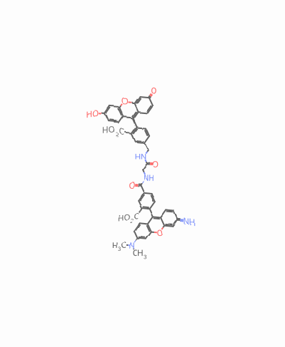 CN(C)c1ccc2c(-c3ccc(C(=O)NCC(=O)NCc4ccc(-c5c6ccc(=O)cc-6oc6cc(O)ccc56)c(C(=O)O)c4)cc3C(=O)O)c3ccc(=N)cc-3oc2c1